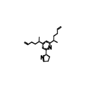 C=CCCC(C)c1cc(C(C)CCC=C)nc(C2CCC=N2)c1